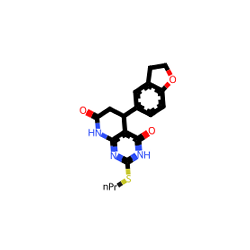 CCCSc1nc2c(c(=O)[nH]1)C(c1ccc3c(c1)CCO3)CC(=O)N2